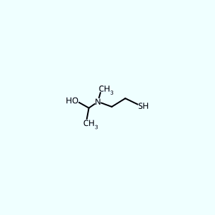 CC(O)N(C)CCS